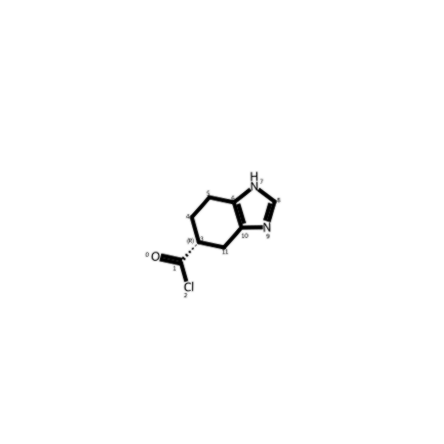 O=C(Cl)[C@@H]1CCc2[nH]cnc2C1